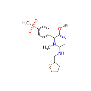 CC(C)OC1=NCC(NCC2CCCS2)N(C)C1c1ccc(S(C)(=O)=O)cc1